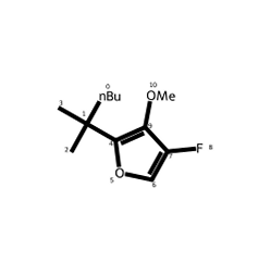 CCCCC(C)(C)c1occ(F)c1OC